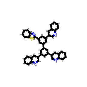 c1ccc2ncc(-c3cc(-c4cc(-c5cnc6ccccc6c5)cc(-c5nc6ccccc6s5)c4)cc(-c4cnc5ccccc5c4)c3)cc2c1